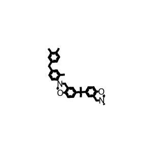 Cc1ccc(Cc2ccc(N3COc4ccc(C(C)(C)c5ccc6c(c5)CN(C)CO6)cc4C3)c(C)c2)cc1C